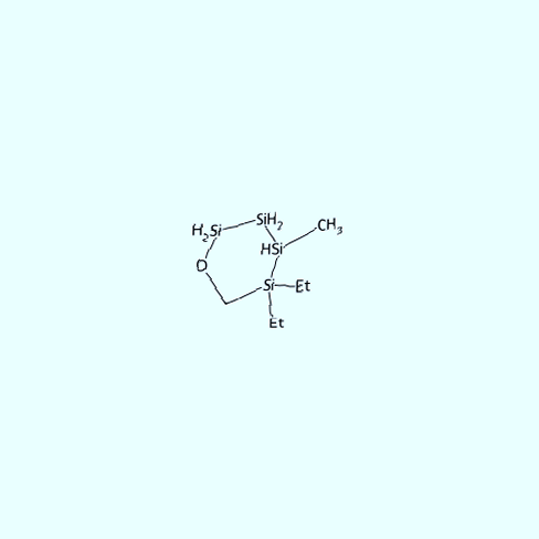 CC[Si]1(CC)CO[SiH2][SiH2][SiH]1C